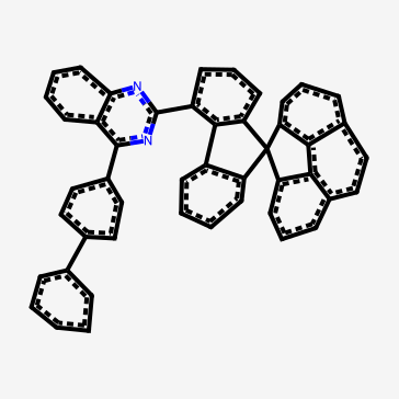 c1ccc(-c2ccc(-c3nc(-c4cccc5c4-c4ccccc4C54c5cccc6ccc7cccc4c7c56)nc4ccccc34)cc2)cc1